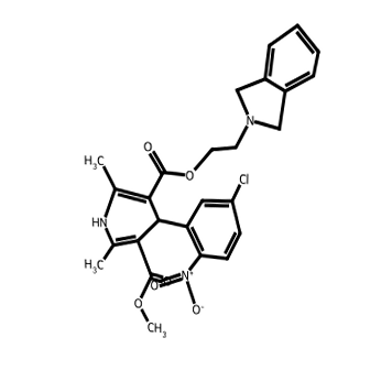 COC(=O)C1=C(C)NC(C)=C(C(=O)OCCN2Cc3ccccc3C2)C1c1cc(Cl)ccc1[N+](=O)[O-]